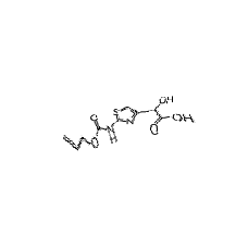 C=CCOC(=O)Nc1nc(C(O)C(=O)O)cs1